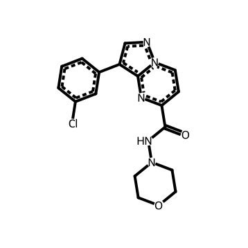 O=C(NN1CCOCC1)c1ccn2ncc(-c3cccc(Cl)c3)c2n1